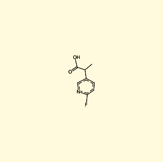 CC(C(=O)O)c1ccc(F)nc1